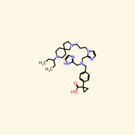 CCC(CC)N1CCC2(CCN(CCCn3ccnc3CN(Cc3ccc(C4(C(=O)O)CC4)cc3)Cc3ncc[nH]3)C2)CC1